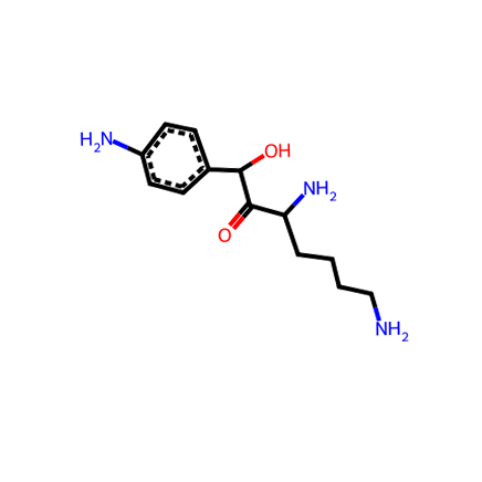 NCCCCC(N)C(=O)C(O)c1ccc(N)cc1